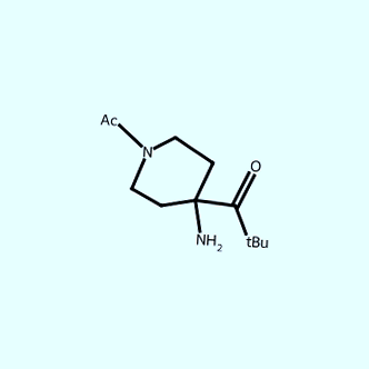 CC(=O)N1CCC(N)(C(=O)C(C)(C)C)CC1